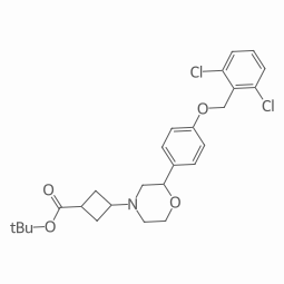 CC(C)(C)OC(=O)C1CC(N2CCOC(c3ccc(OCc4c(Cl)cccc4Cl)cc3)C2)C1